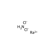 N.[Cl-].[Cl-].[Ra+2]